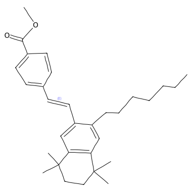 CCCCCCCc1cc2c(cc1/C=C/c1ccc(C(=O)OC)cc1)C(C)(C)CCC2(C)C